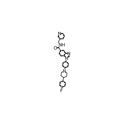 O=C(NCc1cccnc1)c1ccc2c(c1)ncn2-c1ccc(N2CCC(c3ccc(F)cc3)CC2)cc1